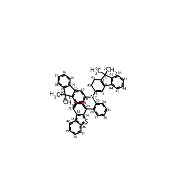 CC1(C)C2=C(C=C(N(c3ccc4c(c3)-c3ccccc3C4(C)C)c3ccccc3C3=C=C=Cc4c3sc3ccccc43)CC2)c2ccccc21